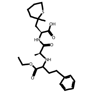 CCOC(=O)C(CCc1ccccc1)N[C@@H](C)C(=O)N[C@@H](CC1(C)CCCCS1)C(=O)O